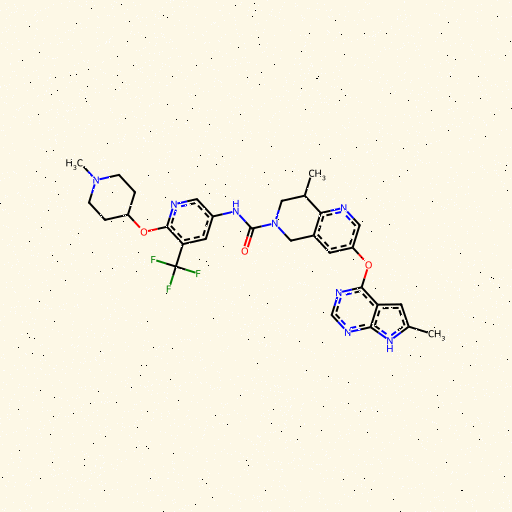 Cc1cc2c(Oc3cnc4c(c3)CN(C(=O)Nc3cnc(OC5CCN(C)CC5)c(C(F)(F)F)c3)CC4C)ncnc2[nH]1